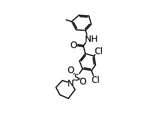 Cc1cccc(NC(=O)c2cc(S(=O)(=O)N3CCCCC3)c(Cl)cc2Cl)c1